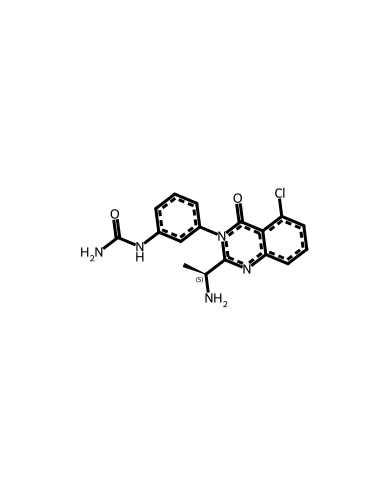 C[C@H](N)c1nc2cccc(Cl)c2c(=O)n1-c1cccc(NC(N)=O)c1